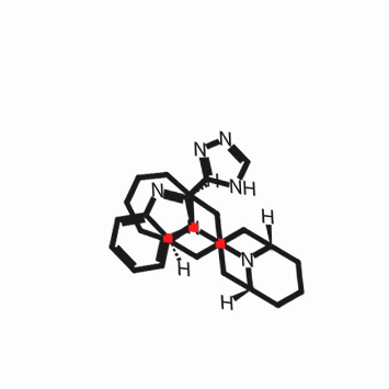 c1ccc2c(c1)nc(-c1nnc[nH]1)n2C1C[C@H]2CCC[C@@H](C1)N2C1C[C@H]2CCCC[C@@H](C1)C2